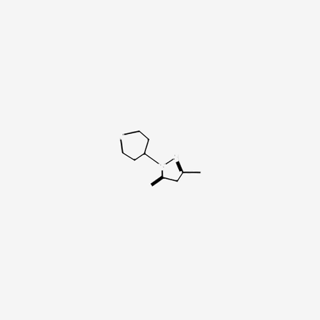 CC1=NN(C2CCOCC2)C(=O)C1